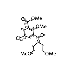 COCCN(CCOC)C(=O)c1cc(Cl)cc(C(=O)OC)c1OC